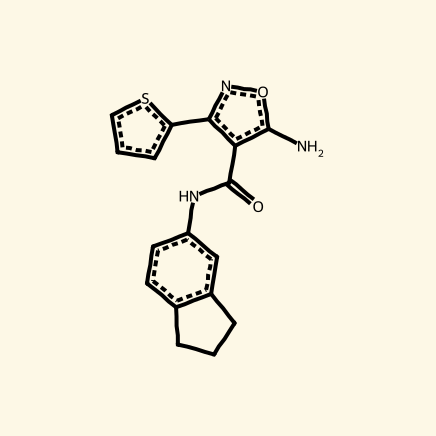 Nc1onc(-c2cccs2)c1C(=O)Nc1ccc2c(c1)CCC2